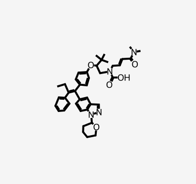 CCC(=C(c1ccc(OC(CN(CC=CC(=O)N(C)C)C(=O)O)C(C)(C)C)cc1)c1ccc2c(cnn2C2CCCCO2)c1)c1ccccc1